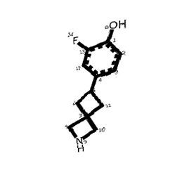 Oc1ccc(C2CC3(CNC3)C2)cc1F